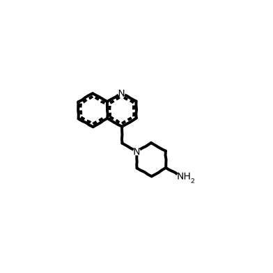 NC1CCN(Cc2ccnc3ccccc23)CC1